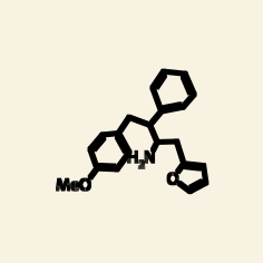 COc1ccc(CC(c2ccccc2)C(N)Cc2ccco2)cc1